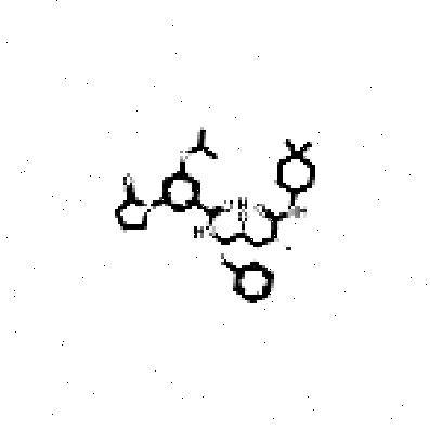 CC(C)Oc1cc(C(=O)N[C@@H](Cc2ccccc2)[C@@H](O)C[C@@H](C)C(=O)NC2CCC(C)(C)CC2)cc(N2CCCC2=O)c1